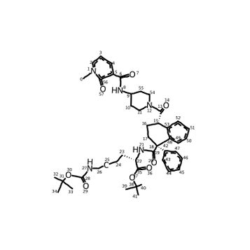 Cn1cccc(C(=O)NC2CCN(C(=O)[C@H]3CC[C@@](C(=O)N[C@@H](CCCCNC(=O)OC(C)(C)C)C(=O)OC(C)(C)C)(c4ccccc4)c4ccccc43)CC2)c1=O